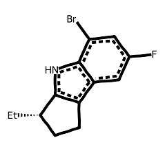 CC[C@H]1CCc2c1[nH]c1c(Br)cc(F)cc21